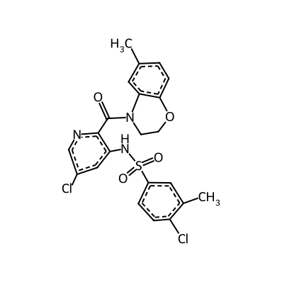 Cc1ccc2c(c1)N(C(=O)c1ncc(Cl)cc1NS(=O)(=O)c1ccc(Cl)c(C)c1)CCO2